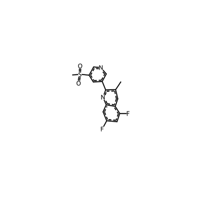 Cc1cc2c(F)cc(F)cc2nc1-c1cncc(S(C)(=O)=O)c1